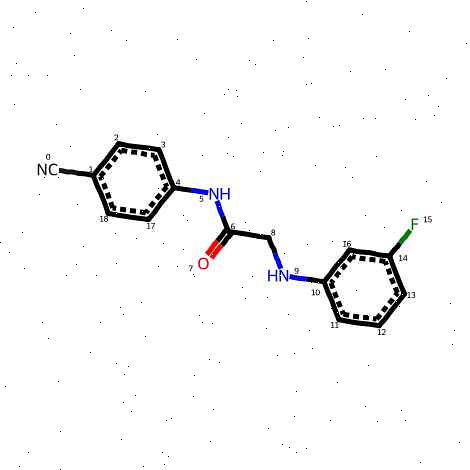 N#Cc1ccc(NC(=O)CNc2cccc(F)c2)cc1